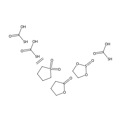 C=C.O=C(O)S.O=C(O)S.O=C(O)S.O=C1CCCO1.O=S1(=O)CCCC1.O=S1OCCO1